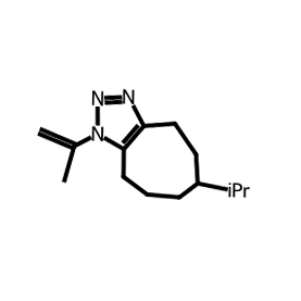 C=C(C)n1nnc2c1CCCC(C(C)C)CC2